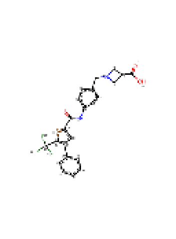 O=C(Nc1ccc(CN2CC(C(=O)O)C2)cc1)c1cc(-c2ccccc2)c(C(F)(F)F)s1